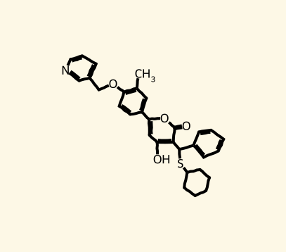 Cc1cc(-c2cc(O)c(C(SC3CCCCC3)c3ccccc3)c(=O)o2)ccc1OCc1cccnc1